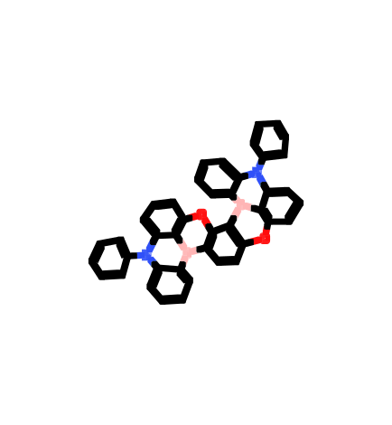 c1ccc(N2c3ccccc3B3c4ccc5c(c4Oc4cccc2c43)B2c3ccccc3N(c3ccccc3)c3cccc(c32)O5)cc1